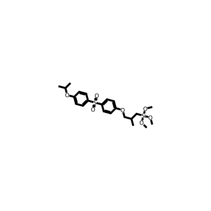 CO[Si](CC(C)COc1ccc(S(=O)(=O)c2ccc(OC(C)C)cc2)cc1)(OC)OC